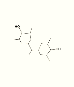 CC1CC(C(C)C2CC(C)C(O)C(C)C2)CC(C)C1O